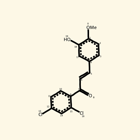 COc1ccc(/C=C/C(=O)c2ccc(Cl)cc2Cl)cc1O